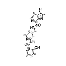 O=C(Nc1cc(CNC(=O)c2nccc3[nH]cnc23)ccn1)c1ncccc1O